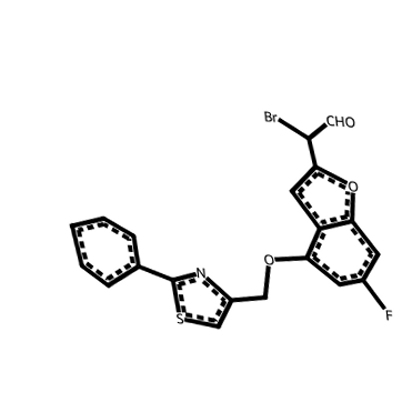 O=CC(Br)c1cc2c(OCc3csc(-c4ccccc4)n3)cc(F)cc2o1